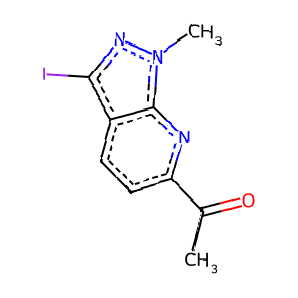 CC(=O)c1ccc2c(I)nn(C)c2n1